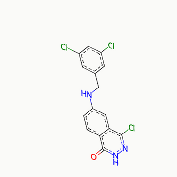 O=c1[nH]nc(Cl)c2cc(NCc3cc(Cl)cc(Cl)c3)ccc12